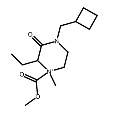 CCC1C(=O)N(CC2CCC2)CC[N+]1(C)C(=O)OC